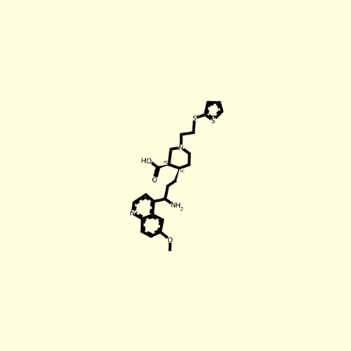 COc1ccc2nccc(C(N)CC[C@@H]3CCN(CCSc4cccs4)C[C@@H]3C(=O)O)c2c1